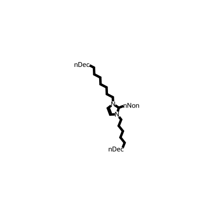 CCCCCCCCCCCCCCCCCN1C=CN(CCCCCCCCCCCCCCC)C1CCCCCCCCC